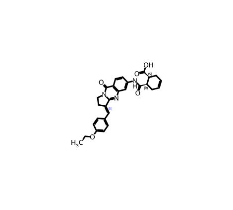 CCOc1ccc(/C=C2\CCn3c2nc2cc(NC(=O)[C@@H]4CC=CC[C@@H]4C(=O)O)ccc2c3=O)cc1